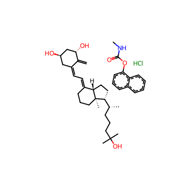 C=C1/C(=C\C=C2/CCC[C@]3(C)[C@@H]([C@H](C)CCCC(C)(C)O)CC[C@@H]23)C[C@@H](O)C[C@@H]1O.CNC(=O)Oc1cccc2ccccc12.Cl